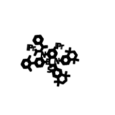 C=C(c1ccccc1)C(C(C)C(C)C)N1c2cc(-c3c(C)cccc3C)ccc2B2c3sc4cc5c(cc4c3N(c3ccc4c(c3)C(C)(C)CCC4(C)C)c3cc(C(C)C)cc1c32)C(C)(C)CCC5(C)C